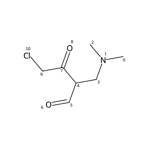 CN(C)CC(C=O)C(=O)CCl